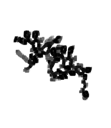 COCCCOc1cc2c(cc1Cl)-c1cc(=O)c(C(=O)O)cn1C(c1ncc(CC3CC3COc3cc4c(cc3Cl)-c3cc(=O)c(C(=O)O)cn3C(c3nc(C)cs3)O4)s1)O2